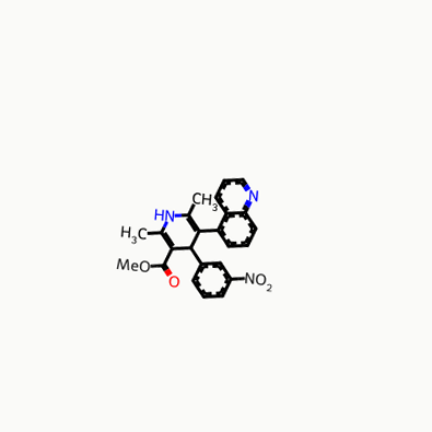 COC(=O)C1=C(C)NC(C)=C(c2cccc3ncccc23)C1c1cccc([N+](=O)[O-])c1